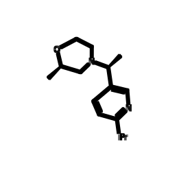 CC(C)c1ccc([C@H](C)N2CCO[C@H](C)C2)cn1